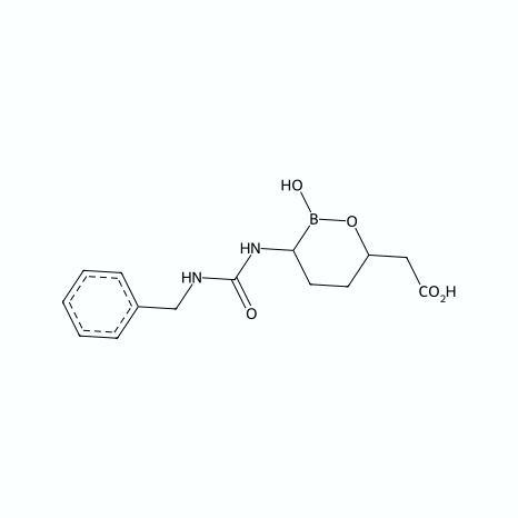 O=C(O)CC1CCC(NC(=O)NCc2ccccc2)B(O)O1